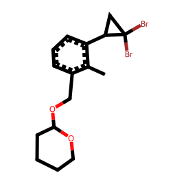 Cc1c(COC2CCCCO2)cccc1C1CC1(Br)Br